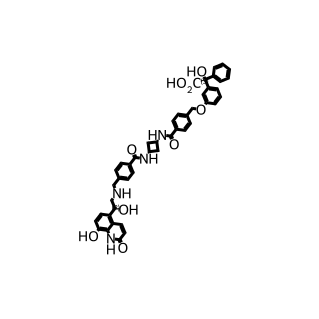 O=C(N[C@H]1C[C@H](NC(=O)c2ccc(COc3cccc([C@](O)(C(=O)O)c4ccccc4)c3)cc2)C1)c1ccc(CNC[C@H](O)c2ccc(O)c3[nH]c(=O)ccc23)cc1